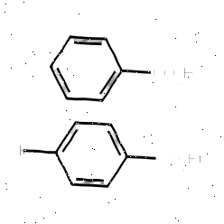 CCOC(=O)c1ccc(I)cc1.O=C(O)c1ccccc1